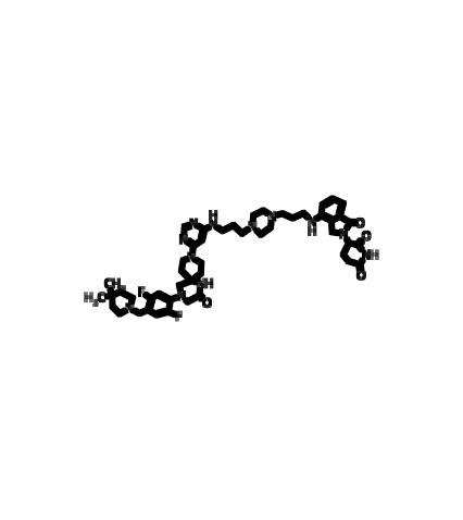 CC1(C)CCN(Cc2cc(F)c(N3CC(=O)NC4(CCN(c5cc(NCCCN6CCN(CCCNc7cccc8c7CN(C7CCC(=O)NC7=O)C8=O)CC6)ncn5)CC4)C3)cc2F)CC1